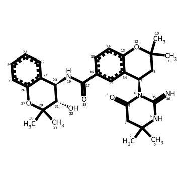 CC1(C)CC(=O)N([C@@H]2CC(C)(C)Oc3ccc(C(=O)N[C@@H]4c5ccccc5OC(C)(C)[C@H]4O)cc32)C(=N)N1